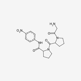 NCC(=O)N1CCCC1C(=O)N1CCCC1C(=O)Nc1ccc([N+](=O)[O-])cc1